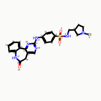 CCN1CCC(CNS(=O)(=O)c2ccc(Nc3ncc4c(n3)-c3ccccc3NC(=O)C4)cc2)C1